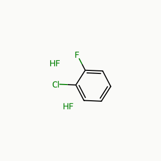 F.F.Fc1ccccc1Cl